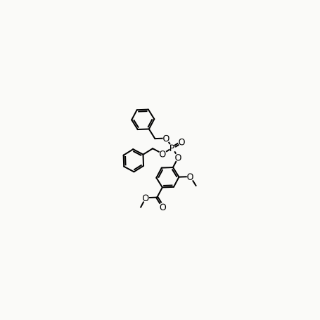 COC(=O)c1ccc(OP(=O)(OCc2ccccc2)OCc2ccccc2)c(OC)c1